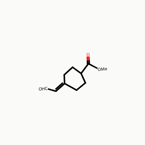 COC(=O)C1CCC(=CC=O)CC1